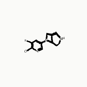 Fc1cc(N2CC3CNCC32)cnc1Cl